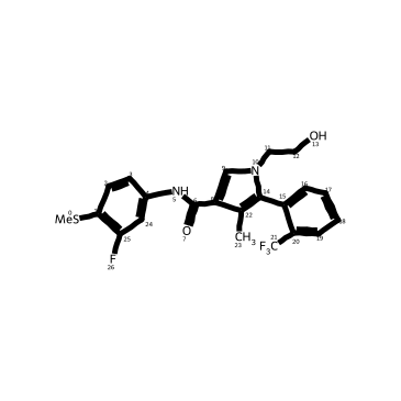 CSc1ccc(NC(=O)c2cn(CCO)c(-c3ccccc3C(F)(F)F)c2C)cc1F